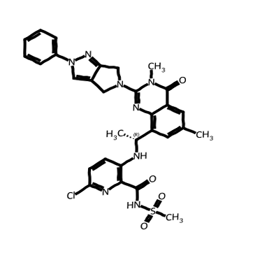 Cc1cc([C@@H](C)Nc2ccc(Cl)nc2C(=O)NS(C)(=O)=O)c2nc(N3Cc4cn(-c5ccccc5)nc4C3)n(C)c(=O)c2c1